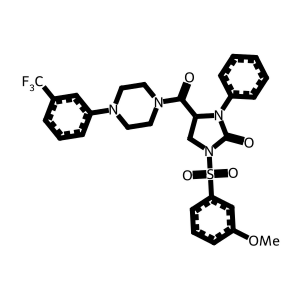 COc1cccc(S(=O)(=O)N2CC(C(=O)N3CCN(c4cccc(C(F)(F)F)c4)CC3)N(c3ccccc3)C2=O)c1